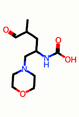 CC(C=O)CC(CN1CCOCC1)NC(=O)O